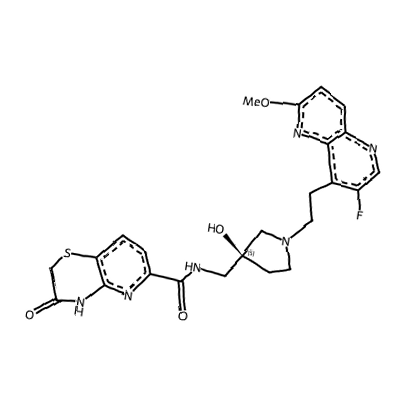 COc1ccc2ncc(F)c(CCN3CC[C@](O)(CNC(=O)c4ccc5c(n4)NC(=O)CS5)C3)c2n1